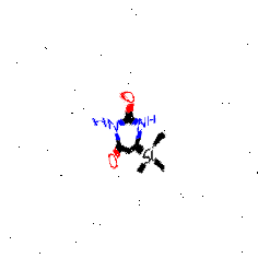 C[Si](C)(C)C1NC(=O)NC1=O